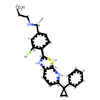 C[C@@H](NCCC(=O)O)c1ccc(-c2nc3ccc(C4(c5ccccc5)CC4)nc3s2)c(F)c1